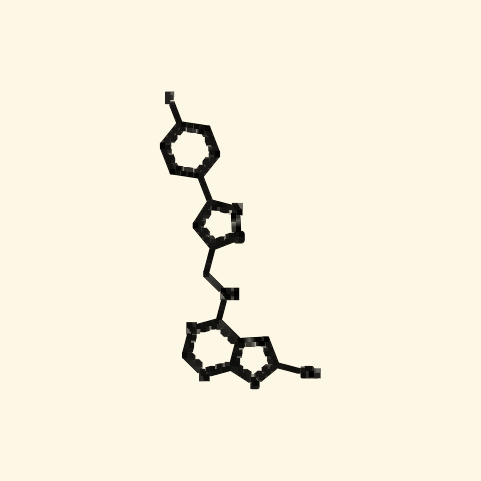 CC(C)(C)c1cc2c(NCc3cc(-c4ccc(F)cc4)no3)ncnc2s1